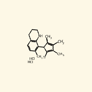 CC1=C(C)C(c2c(C)ccc3c2NCCC3)[C]([Ti])=C1C.Cl.Cl